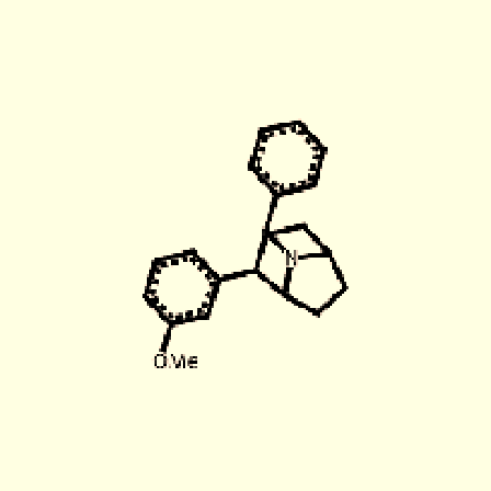 COc1cccc(C2CCC3CCC2N3Cc2ccccc2)c1